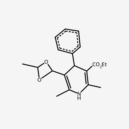 CCOC(=O)C1=C(C)NC(C)=C(C2OC(C)O2)C1c1ccccc1